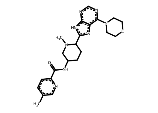 Cc1ccc(C(=O)NC2CCC(c3nc4c(N5CCOCC5)ncnc4[nH]3)N(C)C2)nc1